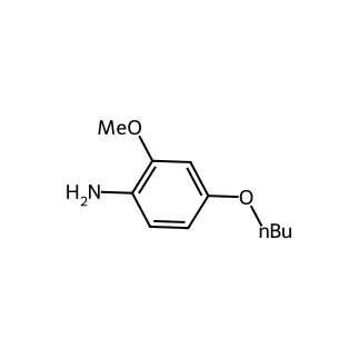 CCCCOc1ccc(N)c(OC)c1